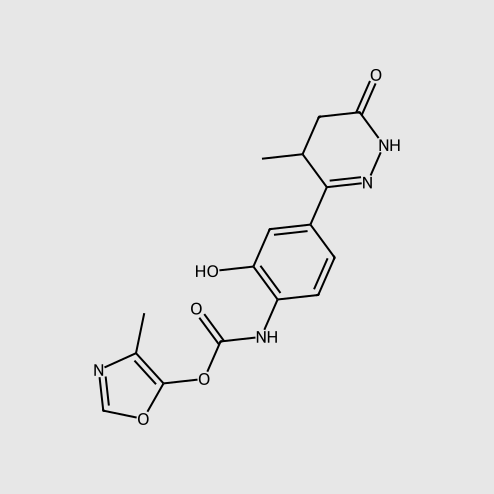 Cc1ncoc1OC(=O)Nc1ccc(C2=NNC(=O)CC2C)cc1O